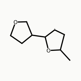 CC1C[CH]C(C2CCOC2)O1